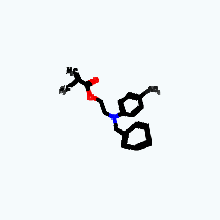 C=C(C)C(=O)OCCN(Cc1ccccc1)c1ccc([N+](=O)[O-])cc1